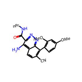 CCCNC(=O)c1nnc2c(-c3ccc(OC)cc3OC)c(C#N)ccc2c1N